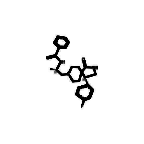 C[C@@H](CN1CCC2(CC1)C(=O)NC[C@@H]2c1ccc(F)cc1)NC(=O)c1ccccc1